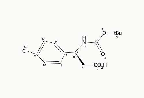 CC(C)(C)OC(=O)N[C@@H](CC(=O)O)c1ccc(Cl)cc1